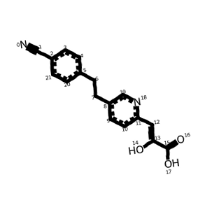 N#Cc1ccc(CCc2ccc(/C=C(\O)C(=O)O)nc2)cc1